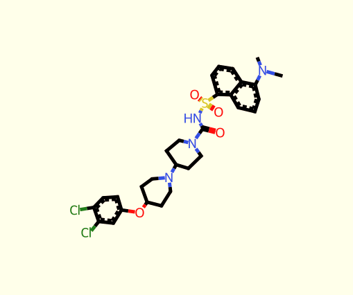 CN(C)c1cccc2c(S(=O)(=O)NC(=O)N3CCC(N4CCC(Oc5ccc(Cl)c(Cl)c5)CC4)CC3)cccc12